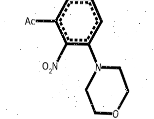 CC(=O)c1cccc(N2CCOCC2)c1[N+](=O)[O-]